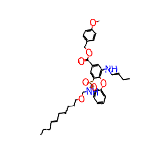 CCCCCCCCCCOCNS(=O)(=O)c1cc(C(=O)OCc2ccc(OC)cc2)cc(NCCCC)c1Oc1ccccc1